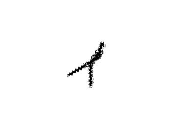 CCCCCCCCCCCCOCC(COC(=O)CC1CCC(OC(=O)CCCN(C)C)C1C)OCCCCCCCCCCCC